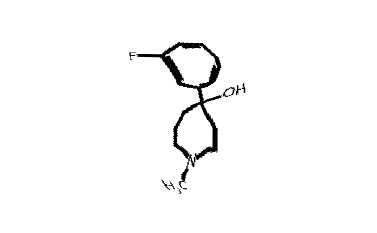 CN1CCC(O)(c2cccc(F)c2)CC1